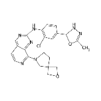 CC1=NNC(c2ccc(Nc3ncc4ccnc(N5CCC6(COC6)C5)c4n3)c(Cl)c2)O1